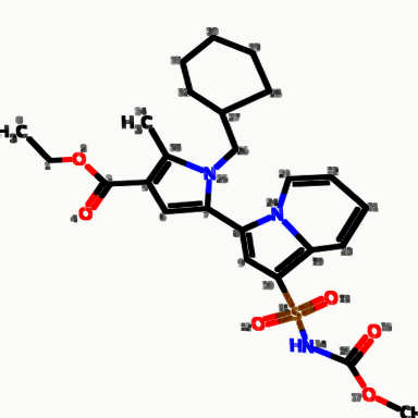 CCOC(=O)c1cc(-c2cc(S(=O)(=O)NC(=O)OC)c3ccccn23)n(CC2CCCCC2)c1C